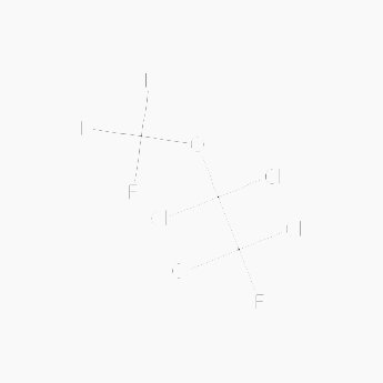 FC(F)(F)OC(Cl)(Cl)C(F)(Cl)Cl